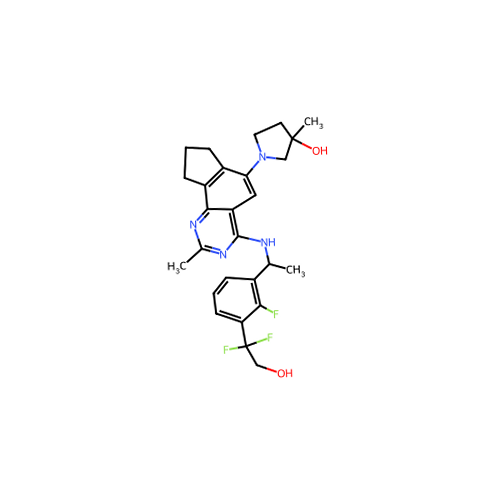 Cc1nc(NC(C)c2cccc(C(F)(F)CO)c2F)c2cc(N3CCC(C)(O)C3)c3c(c2n1)CCC3